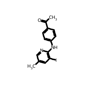 CC(=O)c1ccc(Nc2ncc(C)cc2I)cc1